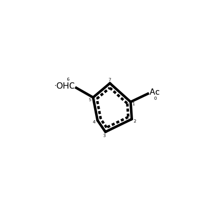 CC(=O)c1cccc([C]=O)c1